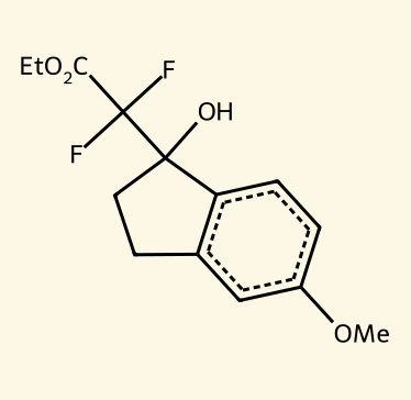 CCOC(=O)C(F)(F)C1(O)CCc2cc(OC)ccc21